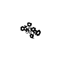 CC1(C)c2ccccc2-c2oc3c(c21)N(c1ccccc1)c1ccc2c4ccccc4n4c2c1B3c1ccccc1-4